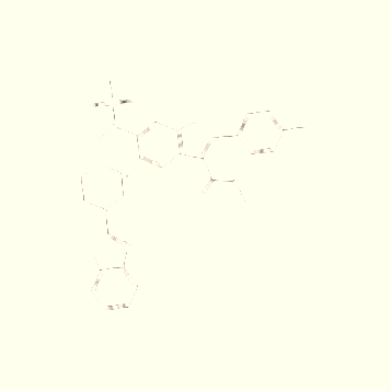 CNC(=O)c1c(-c2ccc(F)cc2)oc2cc(N(C)S(C)(=O)=O)c([C@@H]3CN(c4nc5ccccc5o4)CCO3)cc12